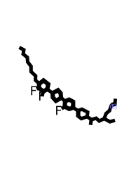 C/C=C/CCC(CC)CCC(C)C1CC=C(c2ccc(-c3ccc(-c4ccc(CCCCCCCCC)c(F)c4F)cc3)c(F)c2)CC1